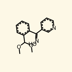 COC(OC)c1ccccc1/C(=N\O)c1cccnc1